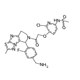 Cc1nn2c3c(nc2s1)CCN(C(=O)COc1ccc(NS(C)(=O)=O)nc1Cl)C3c1ccc(CN)cc1F